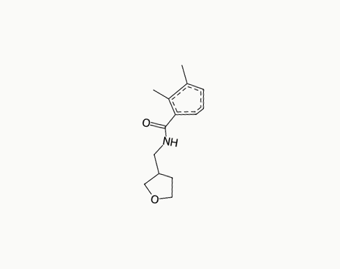 Cc1cccc(C(=O)NCC2CCOC2)c1C